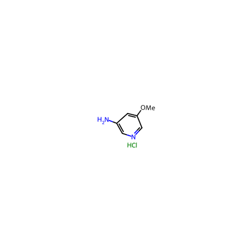 COc1cncc(N)c1.Cl